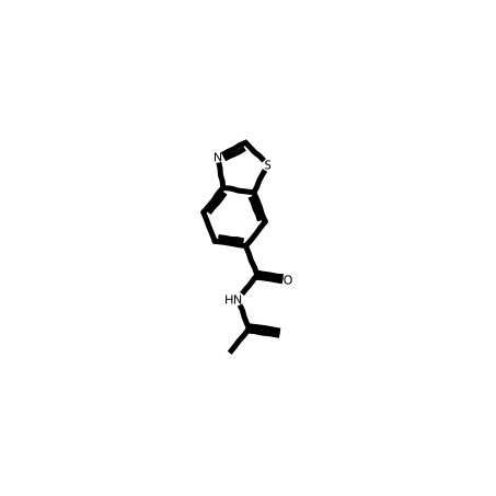 C=C(C)NC(=O)c1ccc2ncsc2c1